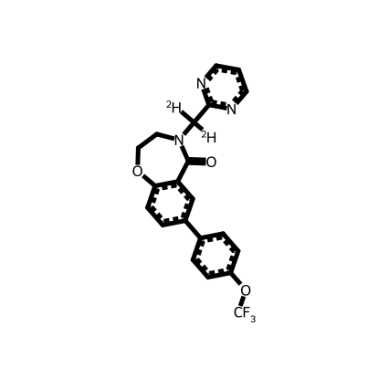 [2H]C([2H])(c1ncccn1)N1CCOc2ccc(-c3ccc(OC(F)(F)F)cc3)cc2C1=O